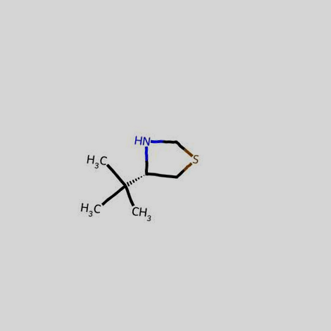 CC(C)(C)[C@H]1CSCN1